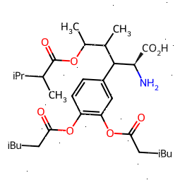 CCC(C)CC(=O)Oc1ccc(C(C(C)C(C)OC(=O)C(C)C(C)C)[C@H](N)C(=O)O)cc1OC(=O)CC(C)CC